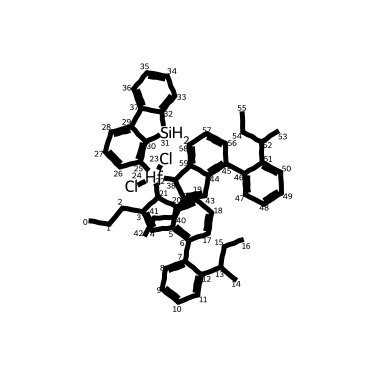 CCCC1=Cc2c(-c3ccccc3C(C)CC)cccc2[CH]1[Hf]([Cl])([Cl])([c]1cccc2c1[SiH2]c1ccccc1-2)[CH]1C(CCC)=Cc2c(-c3ccccc3C(C)CC)cccc21